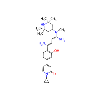 CN(/C(N)=C/C=C(\N)c1ccc(-c2ccn(C3CC3)c(=O)c2)cc1O)C1CC(C)(C)NC(C)(C)C1